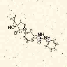 N#C[C@@]1(C2CC2)CCN(c2ccnc(NC(=O)Nc3ccccc3)c2)C1=O